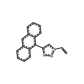 C=Cn1cc(-c2c3ccccc3cc3ccccc23)nn1